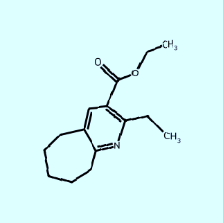 CCOC(=O)c1cc2c(nc1CC)CCCCC2